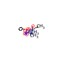 CCCC[C@@H](C=O)NC(=O)[C@H](CC(C)C)N(C(=O)OCc1ccccc1)[N+](=O)[O-]